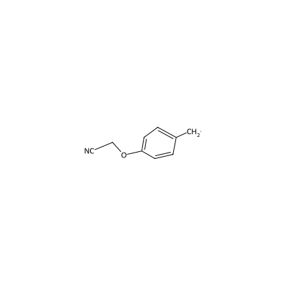 [CH2]c1ccc(OCC#N)cc1